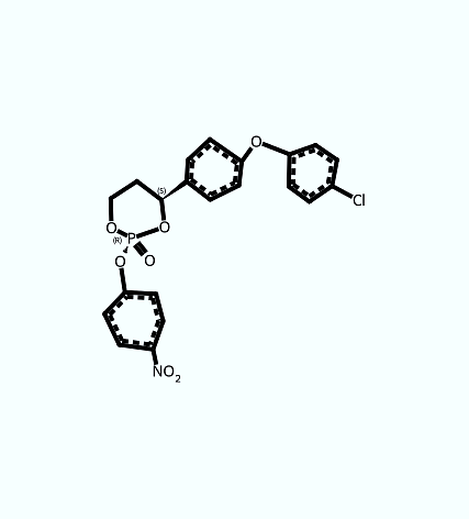 O=[N+]([O-])c1ccc(O[P@]2(=O)OCC[C@@H](c3ccc(Oc4ccc(Cl)cc4)cc3)O2)cc1